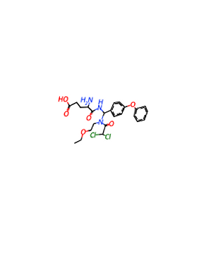 CCOCCN(C(=O)C(Cl)Cl)C(NC(=O)C(N)CCC(=O)O)c1ccc(Oc2ccccc2)cc1